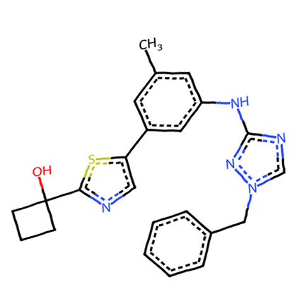 Cc1cc(Nc2ncn(Cc3ccccc3)n2)cc(-c2cnc(C3(O)CCC3)s2)c1